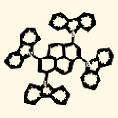 C1=CC2=C(n3c4ccccc4c4ccccc43)C=C(n3c4ccccc4c4ccccc43)C3=CC=C4C(=C1C(n1c5ccccc5c5ccccc51)=CC4n1c4ccccc4c4ccccc41)C32